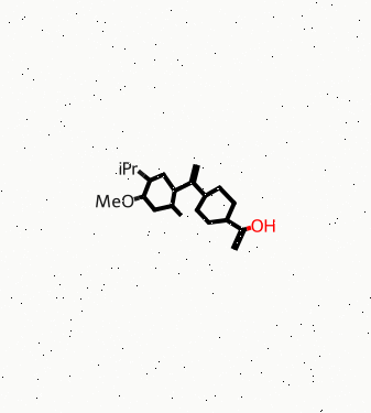 C=C(O)C1CCC(C(=C)C2CC(C(C)C)C(OC)CC2C)CC1